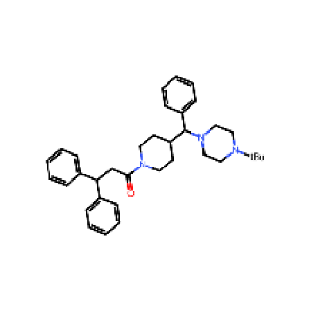 CC(C)(C)N1CCN(C(c2ccccc2)C2CCN(C(=O)CC(c3ccccc3)c3ccccc3)CC2)CC1